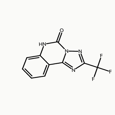 O=c1[nH]c2ccccc2c2nc(C(F)(F)F)nn12